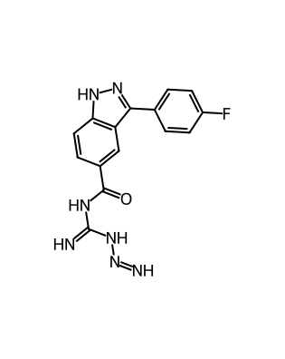 N=NNC(=N)NC(=O)c1ccc2[nH]nc(-c3ccc(F)cc3)c2c1